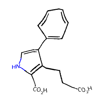 O=C(O)CCc1c(-c2ccccc2)c[nH]c1C(=O)O